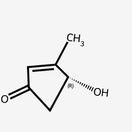 CC1=CC(=O)C[C@H]1O